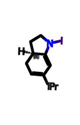 CC(C)C1=CC[C@H]2CCN(I)C2=C1